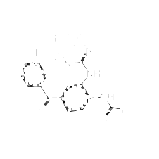 CCCC(=O)Nc1ccc(C(=O)c2ccccc2)cc1NC(=NC(=O)OCC)NC(=O)OCC